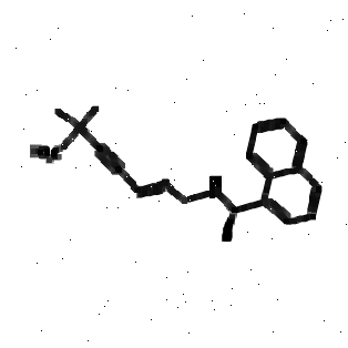 C[C@@H](NCC=CC#CC(C)(C)C(=O)O)c1cccc2ccccc12